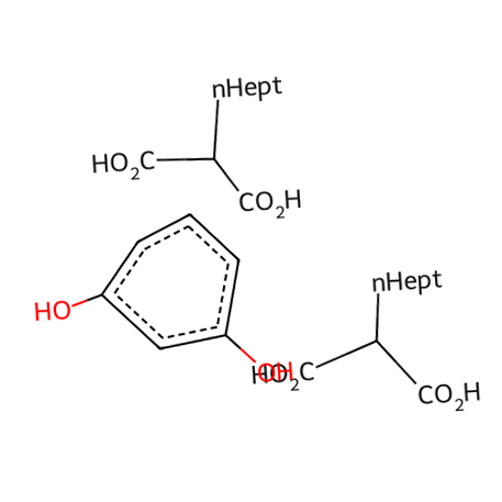 CCCCCCCC(C(=O)O)C(=O)O.CCCCCCCC(C(=O)O)C(=O)O.Oc1cccc(O)c1